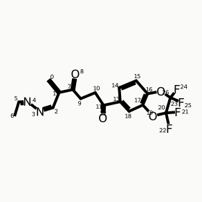 C=C(/C=N\N=C/C)C(=O)CCC(=O)c1ccc2c(c1)OC(F)(F)C(F)(F)O2